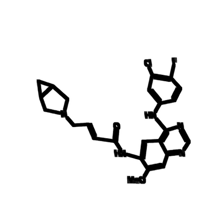 COc1cc2ncnc(Nc3ccc(F)c(Cl)c3)c2cc1NC(=O)/C=C/CN1CC2CC2C1